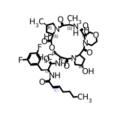 CCCC/C=C/C(=O)N[C@@H](Cc1cc(F)cc(F)c1)C(=O)N[C@@H]1C(=O)N2C[C@H](O)CC2C(=O)N2CCOC[C@H]2C(=O)N[C@@H](C)C(=O)N2C[C@H](C)C[C@H]2C(=O)O[C@H]1C